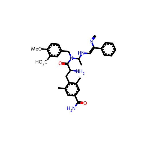 C=N/C(=C\NC(C)N(Cc1ccc(OC)c(C(=O)O)c1)C(=O)[C@@H](N)Cc1c(C)cc(C(N)=O)cc1C)c1ccccc1